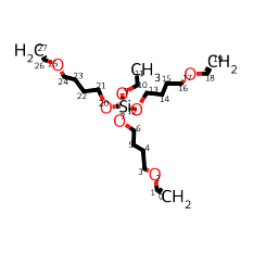 C=COCCCCO[Si](OCC)(OCCCCOC=C)OCCCCOC=C